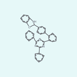 c1ccc(-c2nc(-c3ccccc3)nc(-c3ccccc3-c3ccc(C4Nc5ccccc5O4)cc3)n2)cc1